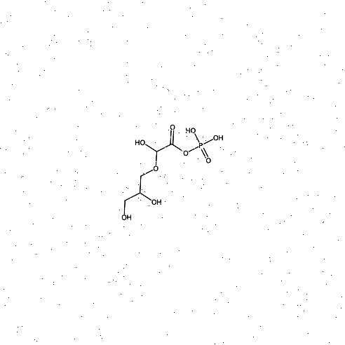 O=C(OP(=O)(O)O)C(O)OCC(O)CO